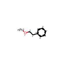 CCCO[CH]Cc1ccccc1